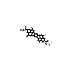 CC(C)c1cc2c(=O)cc3c4cc5c(cc4c4cc(=O)c(c1)c2n34)c1cc(=O)c2cc(C(C)C)cc3c(=O)cc5n1c32